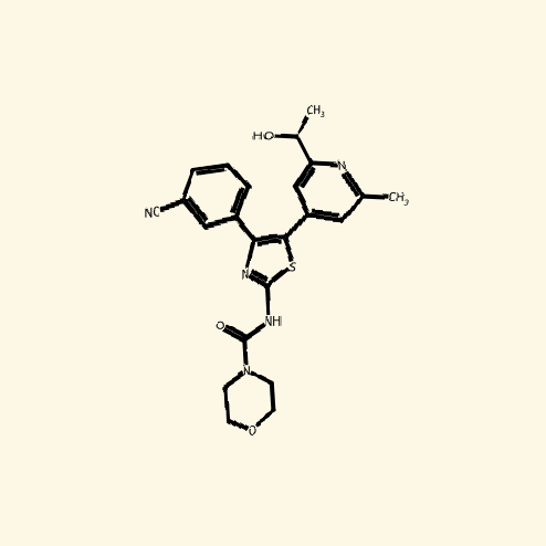 Cc1cc(-c2sc(NC(=O)N3CCOCC3)nc2-c2cccc(C#N)c2)cc([C@H](C)O)n1